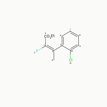 CCOC(=O)/C(F)=C(/C)c1ccccc1Cl